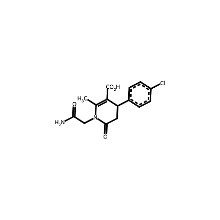 CC1=C(C(=O)O)C(c2ccc(Cl)cc2)CC(=O)N1CC(N)=O